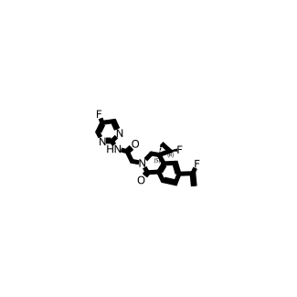 C=C(F)c1ccc2c(c1)[C@@]1(C[C@H]1F)CN(CC(=O)Nc1ncc(F)cn1)C2=O